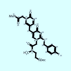 CCCCCCCCCCCCN(C)C(=O)Cn1cc(Cc2cnc(=O)n(CC(=O)NC)c2)c(=O)nc1SCc1ccc(F)cc1